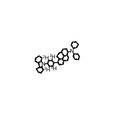 [2H]c1c([2H])c(-n2c3ccccc3c3ccccc32)c([2H])c([2H])c1-c1ccc2ccc3c(N(c4ccccc4)c4ccccc4)ccc4ccc1c2c43